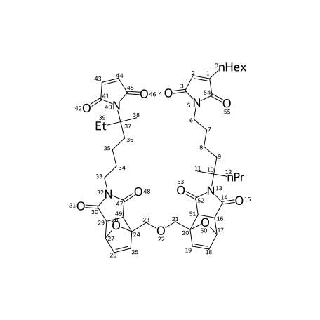 CCCCCCC1=CC(=O)N(CCCCC(C)(CCC)N2C(=O)C3C4C=CC(COCC56C=CC(O5)C5C(=O)N(CCCCC(C)(CC)N7C(=O)C=CC7=O)C(=O)C56)(O4)C3C2=O)C1=O